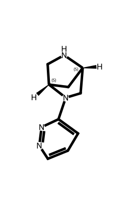 c1cnnc(N2C[C@@H]3C[C@H]2CN3)c1